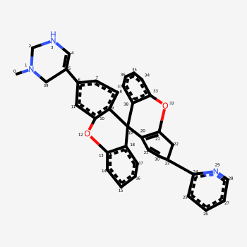 CN1CNC=C(c2ccc3c(c2)Oc2ccccc2C32C3=C(CC(c4ccccn4)C=C3)Oc3ccccc32)C1